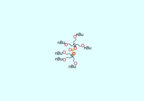 CCCCOCC[Si](CCOCCCC)(CCOCCCC)O[PH](=O)O[Si](CCOCCCC)(CCOCCCC)CCOCCCC